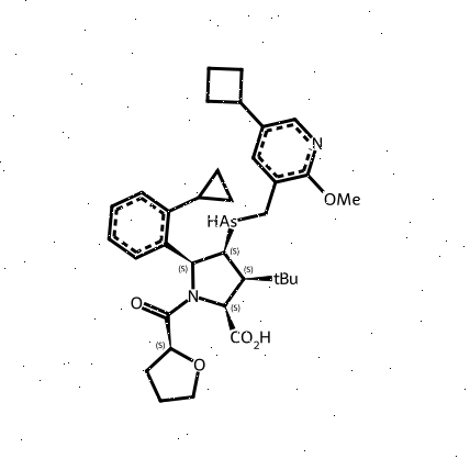 COc1ncc(C2CCC2)cc1C[AsH][C@H]1[C@@H](C(C)(C)C)[C@@H](C(=O)O)N(C(=O)[C@@H]2CCCO2)[C@H]1c1ccccc1C1CC1